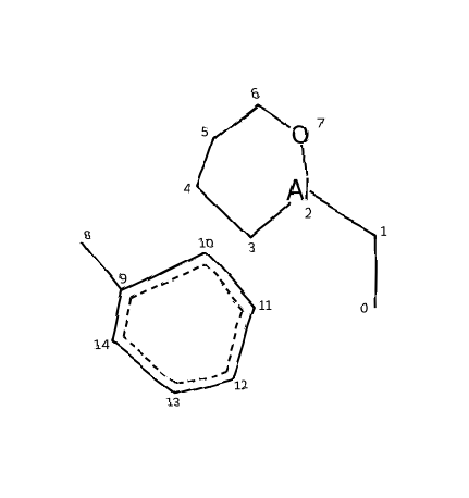 C[CH2][Al]1[CH2]CCC[O]1.Cc1ccccc1